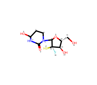 O=C1NC(O)CCN1C1O[C@H](CO)[C@@H](O)[C@@]1(F)S